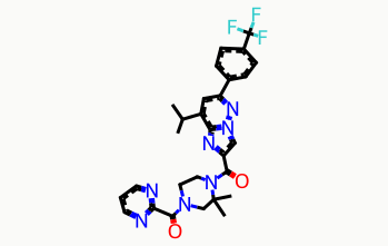 CC(C)c1cc(-c2ccc(C(F)(F)F)cc2)nn2cc(C(=O)N3CCN(C(=O)c4ncccn4)CC3(C)C)nc12